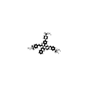 CC(=O)N1CCN(c2ccc(CN(C(=O)C=Cc3ccc(S(C)(=O)=O)cc3)C(Cc3ccccc3)C(=O)N3CCN(Cc4ccc(N(C)C)cc4)CC3)cc2)CC1